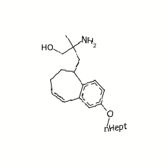 CCCCCCCOc1ccc2c(c1)C=CCCC2CC(C)(N)CO